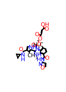 Cc1ccc(C(=O)Nc2ccon2)cc1N(C(=N)c1[nH]cc(C(=O)NC2CC2)c1C)C(=O)OCOC(=O)/C=C/C(=O)O